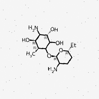 CC[C@@H]1CCC(N)[C@@H](OC2C(O)[C@@H](O)C(N)[C@H](O)[C@@H]2C)O1